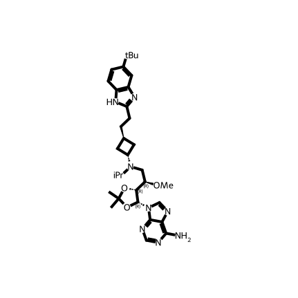 CO[C@H](CN(C(C)C)[C@H]1C[C@H](CCc2nc3cc(C(C)(C)C)ccc3[nH]2)C1)[C@H]1OC(C)(C)O[C@H]1n1cnc2c(N)ncnc21